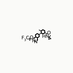 Cc1ccc(C(=O)NC2(C)CC2)cc1-c1ccc2c(O[C@@H](C)C(F)(F)F)nncc2c1